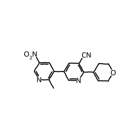 Cc1ncc([N+](=O)[O-])cc1-c1cnc(C2=CCOCC2)c(C#N)c1